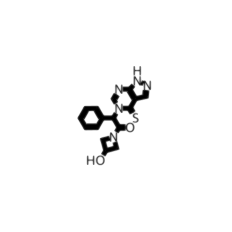 O=C(C(c1ccccc1)n1cnc2[nH]ncc2c1=S)N1CC(O)C1